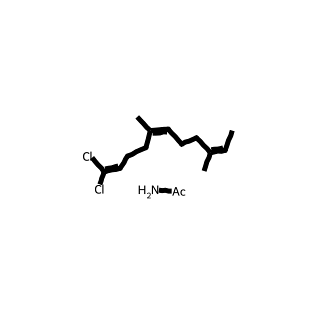 CC(N)=O.CC=C(C)CCC=C(C)CCC=C(Cl)Cl